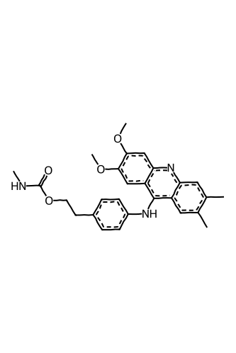 CNC(=O)OCCc1ccc(Nc2c3cc(C)c(C)cc3nc3cc(OC)c(OC)cc23)cc1